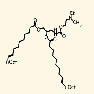 CCCCCCCCC=CCCCCCCCC(=O)OCC(CNC(=O)OCCN(C)CC)OC(=O)CCCCCCCC=CCCCCCCCC